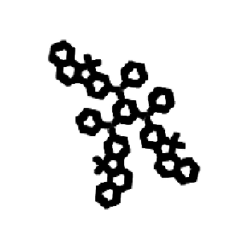 CC1(C)c2cc(N(c3ccccc3)c3cc(N(c4ccccc4)c4ccc5c(c4)C(C)(C)c4c-5ccc5ccccc45)cc(N(c4ccccc4)c4ccc5c(c4)C(C)(C)c4c-5ccc5ccccc45)c3)ccc2-c2ccc3ccccc3c21